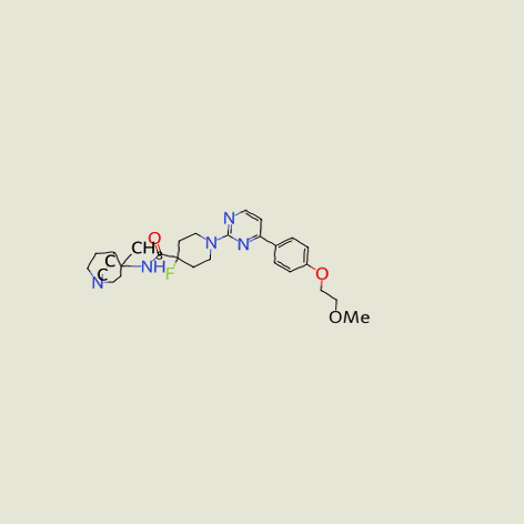 COCCOc1ccc(-c2ccnc(N3CCC(F)(C(=O)NC4(C)CCN5CCC4CC5)CC3)n2)cc1